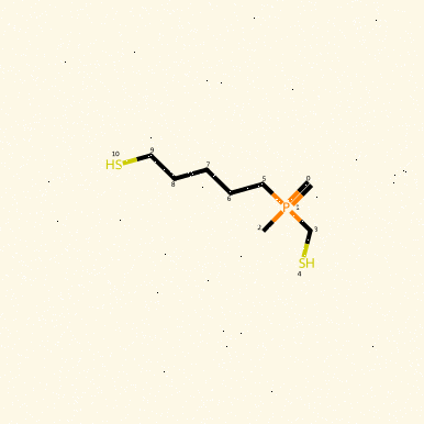 C=P(C)(CS)CCCCCS